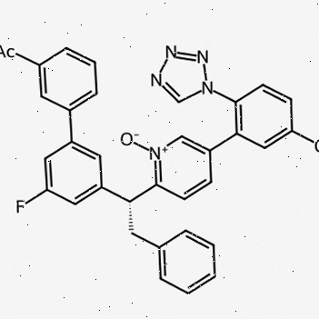 CC(=O)c1cccc(-c2cc(F)cc([C@@H](Cc3ccccc3)c3ccc(-c4cc(Cl)ccc4-n4cnnn4)c[n+]3[O-])c2)c1